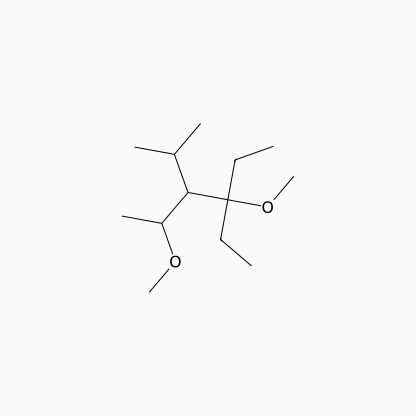 CCC(CC)(OC)C(C(C)C)C(C)OC